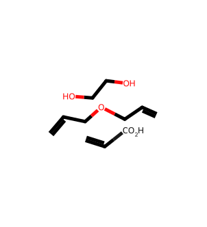 C=CC(=O)O.C=CCOCC=C.OCCO